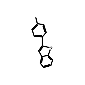 Cc1ccc(C2=Cc3ccccc3[N]2)cc1